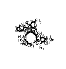 CC[C@H]1OC(=O)[C@H](C)[C@@H](O[C@H]2C[C@@](C)(OC)[C@@H](O)[C@H](C)O2)[C@H](C)[C@@H](O[C@@H]2O[C@H](C)CC(N(C)CC(O)CN3CCCC3)[C@H]2O)[C@](C)(O)C[C@@H](C)CN(C)[C@H](C)[C@@H](O)[C@]1(C)O